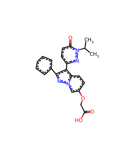 CC(C)n1nc(-c2c(-c3ccccc3)nn3cc(OCC(=O)O)ccc23)ccc1=O